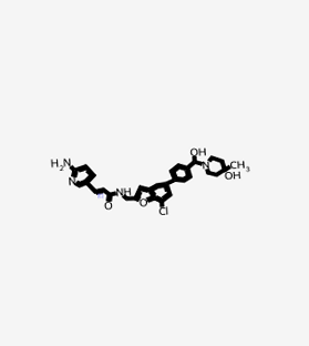 CC1(O)CCN(C(O)c2ccc(-c3cc(Cl)c4oc(CNC(=O)/C=C/c5ccc(N)nc5)cc4c3)cc2)CC1